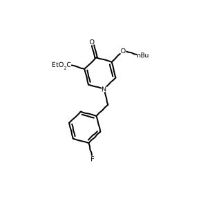 CCCCOc1cn(Cc2cccc(F)c2)cc(C(=O)OCC)c1=O